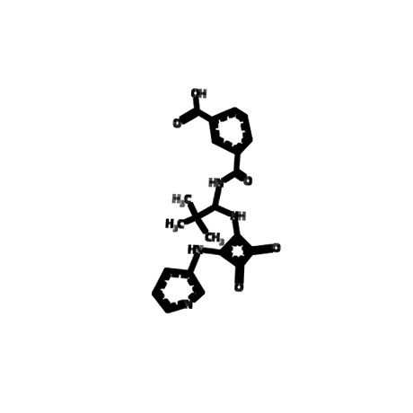 CC(C)(C)C(NC(=O)c1cccc(C(=O)O)c1)Nc1c(Nc2cccnc2)c(=O)c1=O